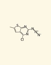 Cc1cc2c(Cl)nc(N=[N+]=[N-])nc2s1